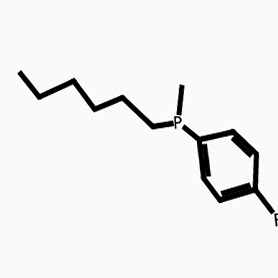 CCCCCCP(C)c1ccc(F)cc1